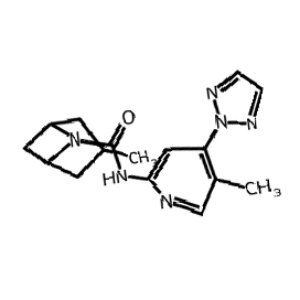 Cc1cnc(NC(=O)N2C3CC(C)CC2C3)cc1-n1nccn1